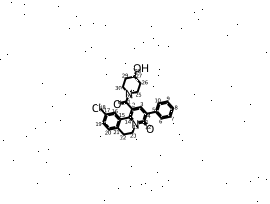 O=C(c1cc(-c2ccccc2)c(=O)n2c1-c1cc(Cl)ccc1CC2)N1CCC(O)CC1